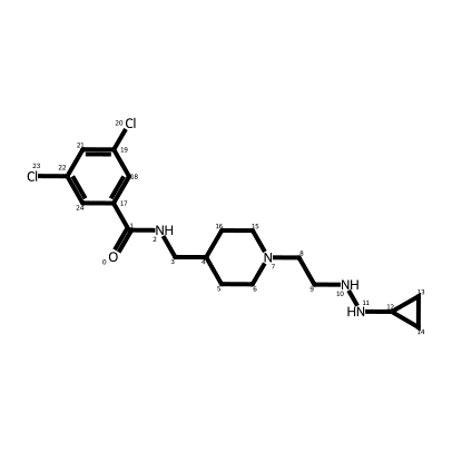 O=C(NCC1CCN(CCNNC2CC2)CC1)c1cc(Cl)cc(Cl)c1